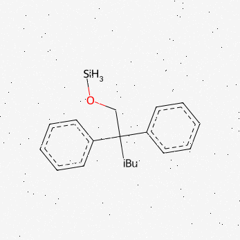 CCC(C)C(CO[SiH3])(c1ccccc1)c1ccccc1